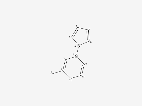 [CH2]C1=CN(n2cccc2)C=CC1